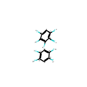 Fc1cc(F)c(F)c(F)c1F.Fc1cc(F)c(F)cc1F